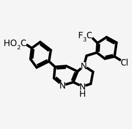 O=C(O)c1ccc(-c2cnc3c(c2)N(Cc2cc(Cl)ccc2C(F)(F)F)CCN3)cc1